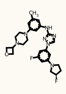 Cc1cc(Nc2ncn(-c3cc(F)cc(N4CC[C@@H](F)C4)c3)n2)cc(N2CCN(C3COC3)CC2)c1